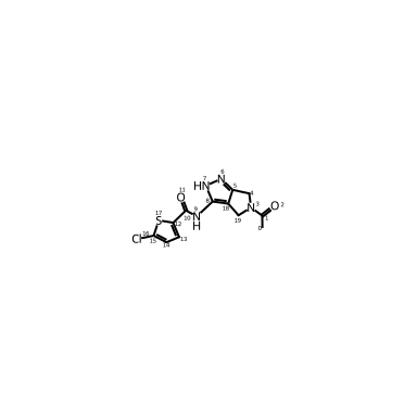 CC(=O)N1Cc2n[nH]c(NC(=O)c3ccc(Cl)s3)c2C1